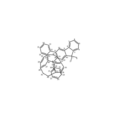 CC1(C)c2ccccc2-c2cc(-c3ccccc3)c(N(c3ccccc3)c3cc4ccc3CCc3ccc(cc3)CC4)cc21